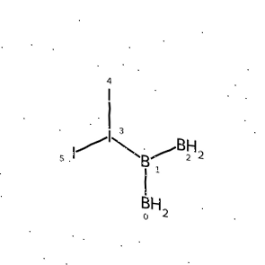 BB(B)I(I)I